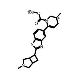 C[C@H]1CC=C(c2ccc3sc(C4CC5CN(C)CC54)nc3c2)N(C(=O)OC(C)(C)C)C1